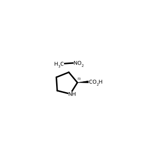 C[N+](=O)[O-].O=C(O)[C@@H]1CCCN1